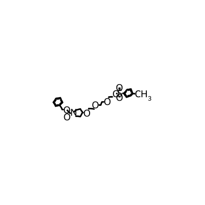 Cc1ccc(S(=O)(=O)OCCOCCOCCOC2CCN(C(=O)OCc3ccccc3)CC2)cc1